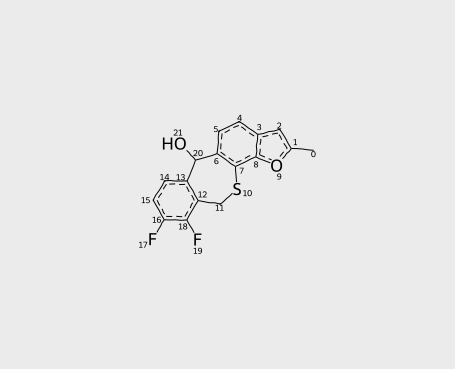 Cc1cc2ccc3c(c2o1)SCc1c(ccc(F)c1F)C3O